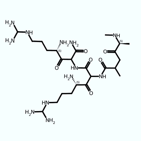 CN[C@@H](C)C(=O)CC(C)C(=O)NC(C(=O)NC(C(N)=O)C(=O)[C@@H](N)CCCNC(N)N)C(=O)[C@@H](N)CCCNC(N)N